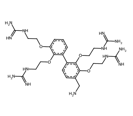 N=C(N)NCCOc1cccc(-c2ccc(CN)c(OCCNC(=N)N)c2OCCNC(=N)N)c1OCCNC(=N)N